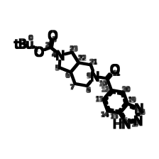 CC(C)(C)OC(=O)N1CC2CCN(C(=O)c3ccc4[nH]nnc4c3)CC2C1